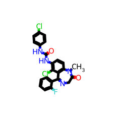 CN1C(=O)CN=C(c2ccccc2F)c2c1ccc(NC(=O)Nc1ccc(Cl)cc1)c2Cl